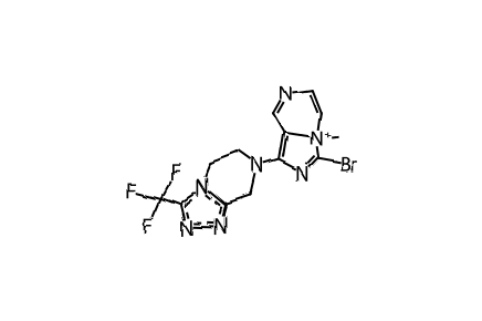 C[N+]12C=CN=CC1=C(N1CCn3c(nnc3C(F)(F)F)C1)N=C2Br